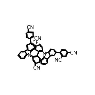 N#Cc1ccc(-c2ccc3c(c2)c2ccccc2n3-c2ccc(C(F)(F)F)cc2-c2ccc(C#N)cc2-n2c3ccccc3c3cc(-c4ccc(C#N)cc4C#N)ccc32)c(C#N)c1